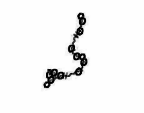 C=CC(=O)OC(C)(C)C(COc1ccccc1)COC(C)(C)C(C)(C)CCCCOC(C)(C)CCOc1cccc(OCCC(C)(C)OCCCCC(C)(C)C(C)(C)OCCCOc2ccccc2)c1